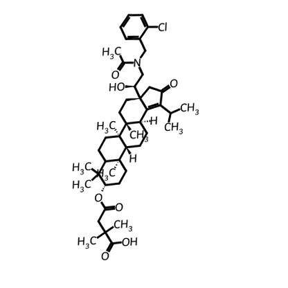 CC(=O)N(Cc1ccccc1Cl)C[C@H](O)[C@@]12CC[C@]3(C)[C@H](CC[C@@H]4[C@@]5(C)CC[C@H](OC(=O)CC(C)(C)C(=O)O)C(C)(C)C5CC[C@]43C)C1=C(C(C)C)C(=O)C2